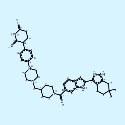 CC1(C)CCc2c(-c3cc4ccc(C(=O)N5CCC(CN6CCN(c7ccc(C8CCC(=O)NC8=O)cc7)CC6)CC5)cc4[nH]3)n[nH]c2C1